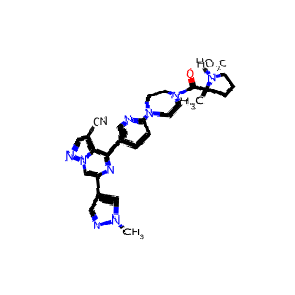 Cn1cc(-c2cn3ncc(C#N)c3c(-c3ccc(N4CCN(C(=O)C5(C)CCCN5C(=O)O)CC4)nc3)n2)cn1